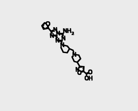 Nc1nc(N2CCCC(CN3CCC(c4cc(C(=O)O)on4)CC3)C2)nc2nc(-c3ccco3)nn12